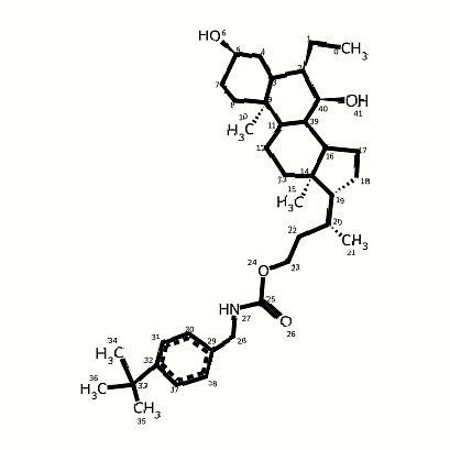 CC[C@@H]1C2C[C@H](O)CC[C@]2(C)C2CC[C@@]3(C)C(CC[C@@H]3[C@H](C)CCOC(=O)NCc3ccc(C(C)(C)C)cc3)C2[C@@H]1O